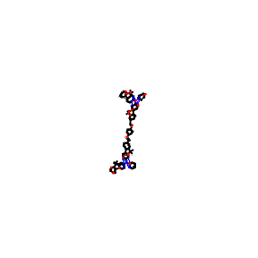 CC1(C)c2ccccc2-c2ccc(N(c3ccccc3)c3ccc4c(c3)C(C)(C)c3cc(/C=C/c5ccc(/C=C/c6ccc7c(c6)C(C)(C)c6cc(N(c8ccccc8)c8ccc9c(c8)C(C)(C)c8ccccc8-9)ccc6-7)cc5)ccc3-4)cc21